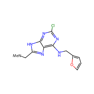 CNCc1nc2c(NCc3ccco3)nc(Cl)nc2[nH]1